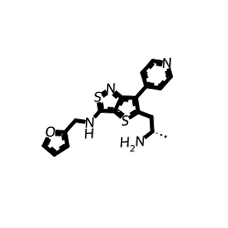 C[C@H](N)Cc1sc2c(NCc3ccco3)snc2c1-c1ccncc1